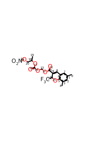 Cc1cc(C)c2c(c1)C=C(C(=O)OCOC(=O)OC(C)CO[N+](=O)[O-])C(C(F)(F)F)O2